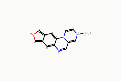 O=C(O)N1C=CN2C(=C1)C=Nc1cc3cocc3cc12